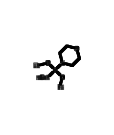 CCCCCCCC[Si](OCC)(OCC)N1CCOCC1